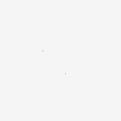 CCc1ccc([N+](=O)[O-])c2cccnc12